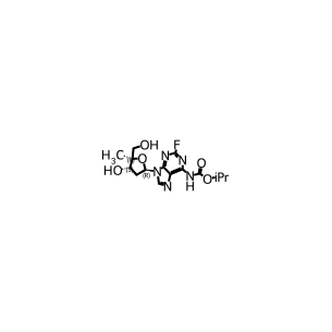 CC(C)OC(=O)Nc1nc(F)nc2c1ncn2[C@H]1C[C@H](O)[C@@](C)(CO)O1